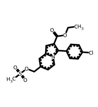 CCOC(=O)c1cc2cc(COS(C)(=O)=O)ccn2c1-c1ccc(Cl)cc1